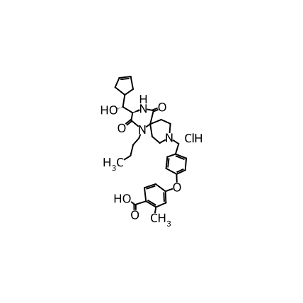 CCCCN1C(=O)[C@@H]([C@H](O)C2CC=CC2)NC(=O)C12CCN(Cc1ccc(Oc3ccc(C(=O)O)c(C)c3)cc1)CC2.Cl